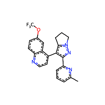 Cc1cccc(-c2nn3c(c2-c2ccnc4ccc(OC(F)(F)F)cc24)CCC3)n1